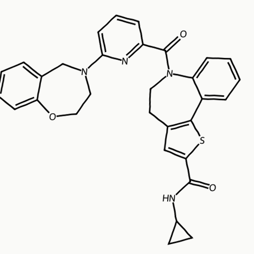 O=C(NC1CC1)c1cc2c(s1)-c1ccccc1N(C(=O)c1cccc(N3CCOc4ccccc4C3)n1)CC2